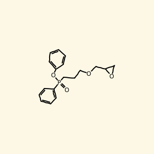 O=P(CCCOCC1CO1)(Oc1ccccc1)c1ccccc1